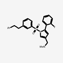 CNCc1cc(-c2ccccc2F)n(S(=O)(=O)c2cccc(CCC(C)C)c2)c1